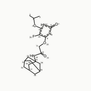 CC(C)Oc1[nH]c(=O)nc(OCC(=O)NC23CC4CC(CC(C4)C2)C3)c1F